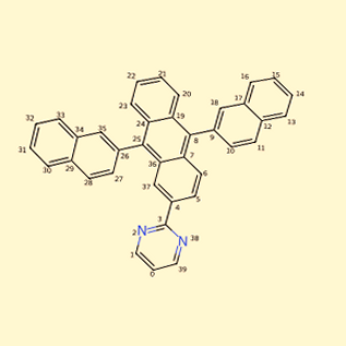 c1cnc(-c2ccc3c(-c4ccc5ccccc5c4)c4ccccc4c(-c4ccc5ccccc5c4)c3c2)nc1